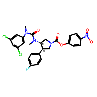 CN(C(=O)N(C)[C@@H]1CN(C(=O)Oc2ccc([N+](=O)[O-])cc2)C[C@H]1c1ccc(F)cc1)c1cc(Cl)cc(Cl)c1